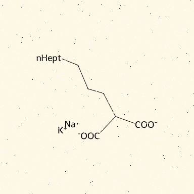 CCCCCCCCCCC(C(=O)[O-])C(=O)[O-].[K+].[Na+]